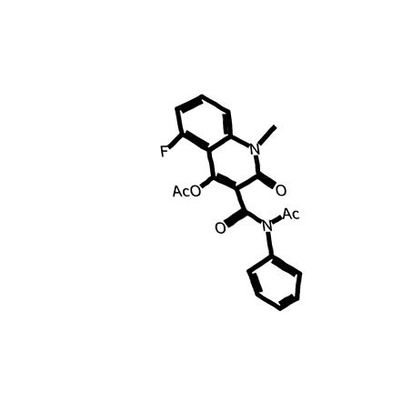 CC(=O)Oc1c(C(=O)N(C(C)=O)c2ccccc2)c(=O)n(C)c2cccc(F)c12